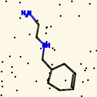 NCCNCC1CC=CCC1